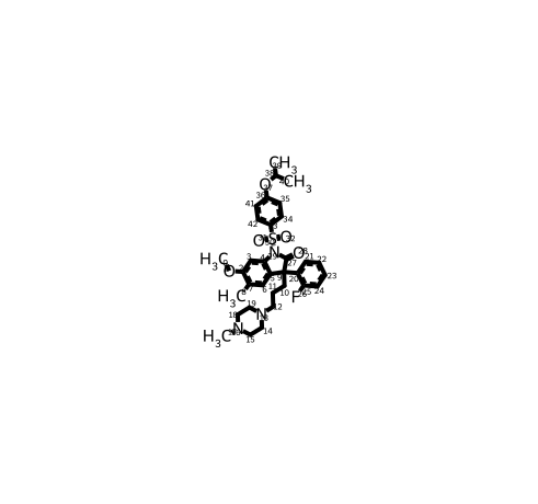 COc1cc2c(cc1C)C(CCCN1CCN(C)CC1)(c1ccccc1F)C(=O)N2S(=O)(=O)c1ccc(OC(C)C)cc1